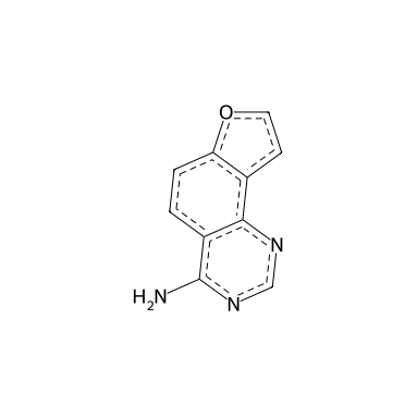 Nc1ncnc2c1ccc1occc12